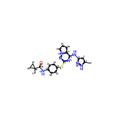 Cc1cc(Nc2nc(Sc3ccc(NC(=O)C4(C)CC4)cc3)nn3cccc23)n[nH]1